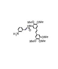 COc1cc(C=Cc2cc(OC)c(OC)c(OC)c2)cc(NC(=O)/C=C/c2cccc(N)c2)c1OC